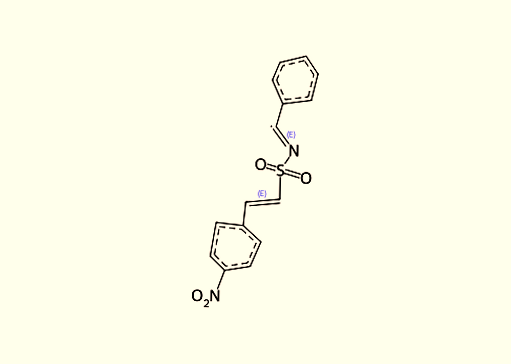 O=[N+]([O-])c1ccc(/C=C/S(=O)(=O)/N=[C]/c2ccccc2)cc1